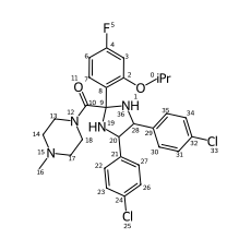 CC(C)Oc1cc(F)ccc1C1(C(=O)N2CCN(C)CC2)NC(c2ccc(Cl)cc2)C(c2ccc(Cl)cc2)N1